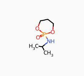 CC(C)NP1(=O)OCCCO1